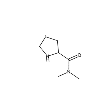 CN(C)C(=O)C1C[CH]CN1